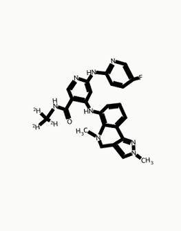 [2H]C([2H])([2H])NC(=O)c1cnc(Nc2ccc(F)cn2)cc1Nc1cccc2c1N(C)Cc1cn(C)nc1-2